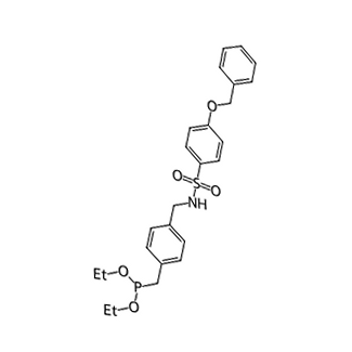 CCOP(Cc1ccc(CNS(=O)(=O)c2ccc(OCc3ccccc3)cc2)cc1)OCC